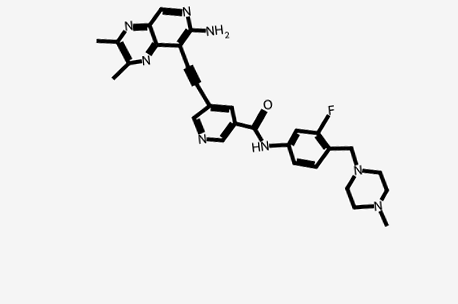 Cc1nc2cnc(N)c(C#Cc3cncc(C(=O)Nc4ccc(CN5CCN(C)CC5)c(F)c4)c3)c2nc1C